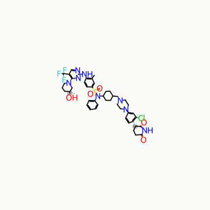 Cc1cc(S(=O)(=O)N(c2ccccc2)C2CCC(CN3CCN(c4ccc([C@H]5CCC(=O)NC5=O)c(Cl)c4)CC3)CC2)ccc1Nc1ncc(C(F)(F)F)c(N2CCC[C@](C)(O)C2)n1